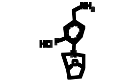 Cl.NCc1ccc(N2CC3CCC(C2)O3)c(F)c1